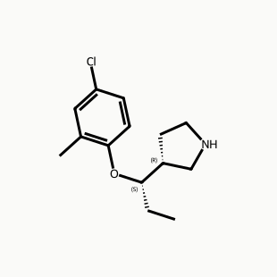 CC[C@H](Oc1ccc(Cl)cc1C)[C@@H]1CCNC1